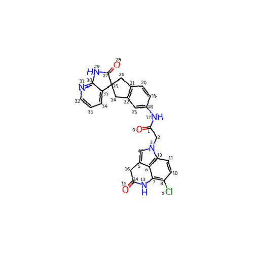 O=C(Cn1cc2c3c(c(Cl)ccc31)NC(=O)C2)Nc1ccc2c(c1)CC1(C2)C(=O)Nc2ncccc21